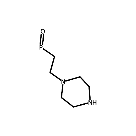 O=PCCN1CCNCC1